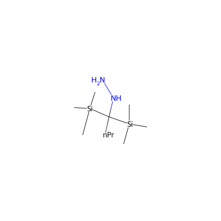 CCCC(NN)([Si](C)(C)C)[Si](C)(C)C